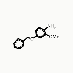 COc1cc(OCc2ccccc2)ccc1N